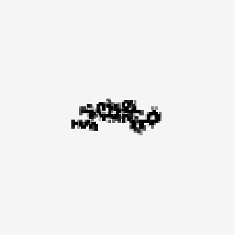 Cc1nc(-c2onc(C)c2Nc2cncc(-c3ccccc3)n2)ccc1NC(=O)[C@@H]1[C@@H](C(=O)O)C1(F)F